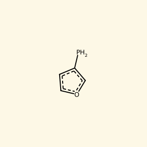 Pc1ccoc1